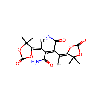 CCC(=C1/OC(=O)OC1(C)C)/C(C(N)=O)=C(C(N)=O)/C(CC)=C1\OC(=O)OC1(C)C